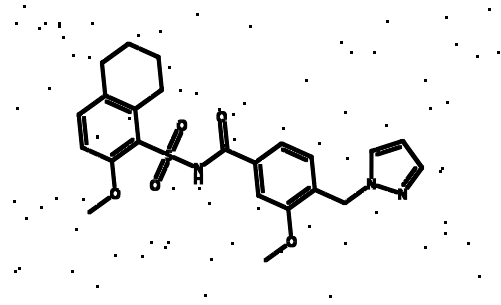 COc1cc(C(=O)NS(=O)(=O)c2c(OC)ccc3c2CCCC3)ccc1Cn1cccn1